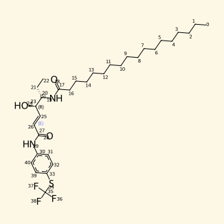 CCCCCCCCCCCCCCCCCC(=O)N[C@@H](CC)[C@H](O)/C=C/C(=O)Nc1ccc(SC(F)(F)F)cc1